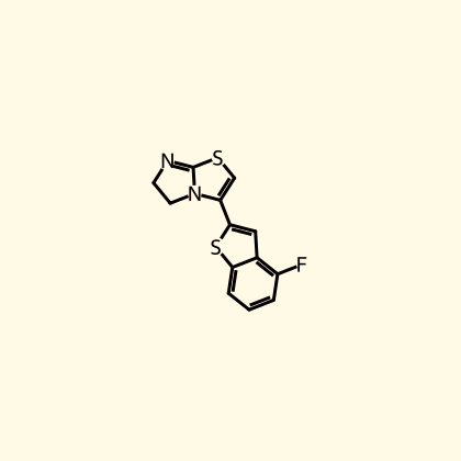 Fc1cccc2sc(C3=CSC4=NCCN34)cc12